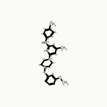 COc1cccc(SN2CCN(c3cc(C)cc(Nc4ccc(C)cc4)n3)CC2)c1